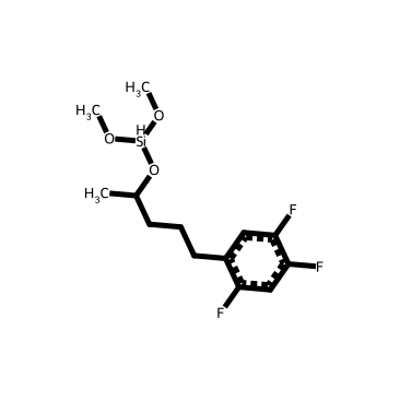 CO[SiH](OC)OC(C)CCCc1cc(F)c(F)cc1F